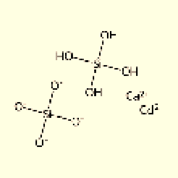 O[Si](O)(O)O.[Ca+2].[Cd+2].[O-][Si]([O-])([O-])[O-]